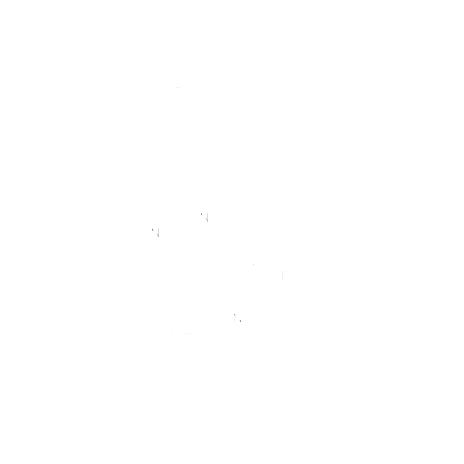 O=C(Nc1ccccc1F)C1=C(O)CCn2c1nc1cc(F)ccc12